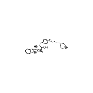 C=C(NC(Cc1ccc(OCCCCC2CCNCC2)cc1)C(=O)O)c1cc2ccccc2[nH]1